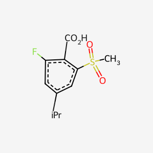 CC(C)c1cc(F)c(C(=O)O)c(S(C)(=O)=O)c1